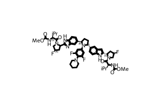 COC(=O)N[C@H](C(=O)N1C[C@H](F)CC1c1nc2cc([C@H]3CC[C@H](c4ccc5[nH]c([C@@H]6C[C@@H](F)CN6C(=O)[C@@H](NC(=O)OC)C(C)C)cc5c4)N3c3cc(F)c(N4CCCCC4)c(F)c3)ccc2[nH]1)C(C)C